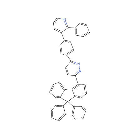 c1ccc(-c2ncccc2-c2ccc(-c3ccc(-c4cccc5c4-c4ccccc4C5(c4ccccc4)c4ccccc4)nn3)cc2)cc1